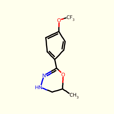 CC1CNN=C(c2ccc(OC(F)(F)F)cc2)O1